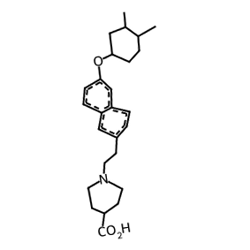 CC1CCC(Oc2ccc3cc(CCN4CCC(C(=O)O)CC4)ccc3c2)CC1C